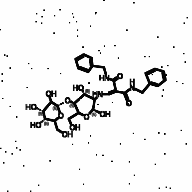 O=C(NCc1ccccc1)C(=CNC1[C@@H](O)[C@H](O[C@@H]2OC(CO)[C@H](O)[C@H](O)C2O)C(CO)O[C@@H]1O)C(=O)NCc1ccccc1